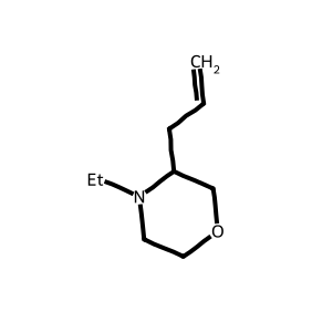 C=CCC1COCCN1CC